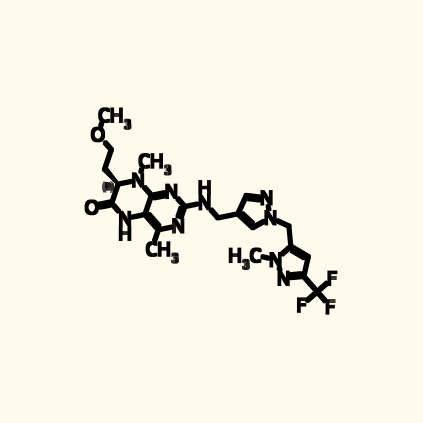 COCC[C@@H]1C(=O)Nc2c(C)nc(NCc3cnn(Cc4cc(C(F)(F)F)nn4C)c3)nc2N1C